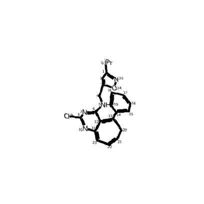 CC(C)c1cc(CNc2nc(Cl)nc3c2=C(c2ccccc2)CC=CC=3)on1